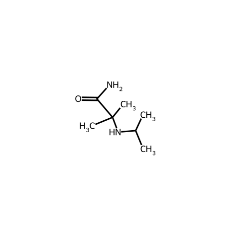 CC(C)NC(C)(C)C(N)=O